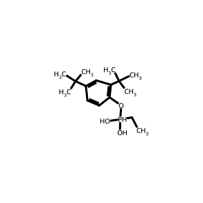 CC[PH](O)(O)Oc1ccc(C(C)(C)C)cc1C(C)(C)C